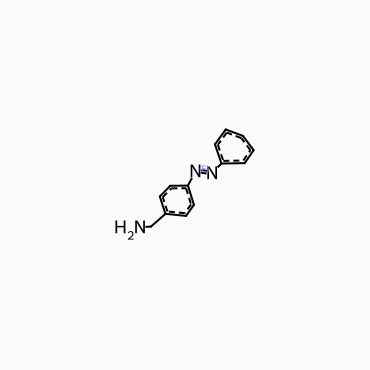 NCc1ccc(/N=N/c2ccccc2)cc1